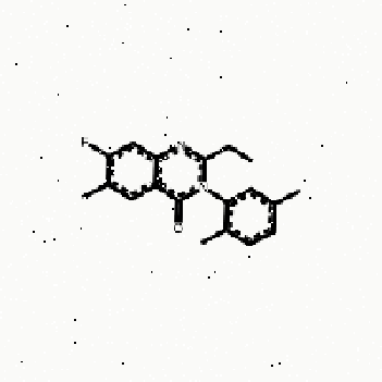 CCc1nc2cc(F)c(C)cc2c(=O)n1-c1cc(C)ccc1C